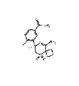 C[C@@]1(c2cc(C(N)=O)ccc2F)CS(=O)(=O)C2(CCC2)C(N)=N1